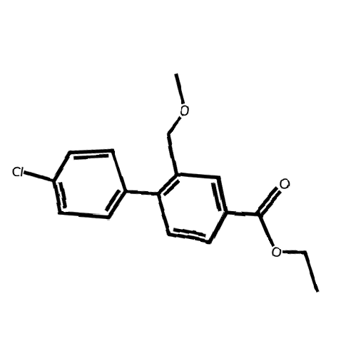 CCOC(=O)c1ccc(-c2ccc(Cl)cc2)c(COC)c1